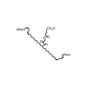 CCCCC/C=C\C/C=C\CCCCCCCCC(CCCCCCCC/C=C\C/C=C\CCCCC)NC(=O)COC(=O)CCCC(=O)O